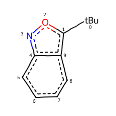 CC(C)(C)c1onc2ccccc12